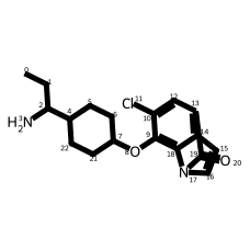 CCC(N)C1CCC(Oc2c(Cl)cc3c4ccn(c24)C3=O)CC1